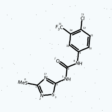 CSc1nsc(NC(=O)Nc2ccc(Cl)c(C(F)(F)F)c2)n1